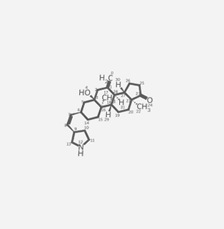 C=C1C[C@@]2(O)C[C@H](/C=C\[C@H]3CCNC3)CC[C@]2(C)[C@H]2CC[C@]3(C)C(=O)CC[C@H]3[C@H]12